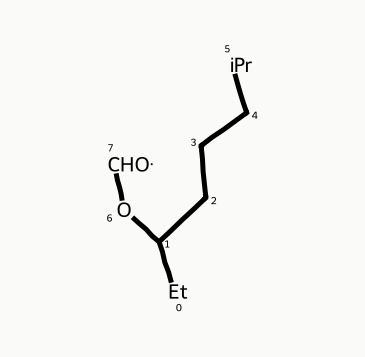 CCC(CCCC(C)C)O[C]=O